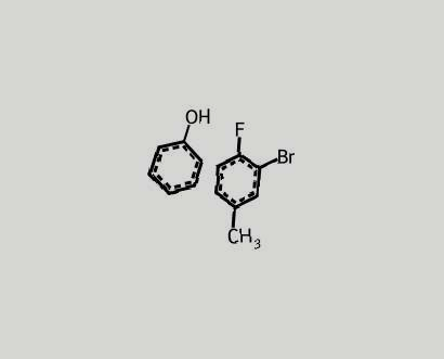 Cc1ccc(F)c(Br)c1.Oc1ccccc1